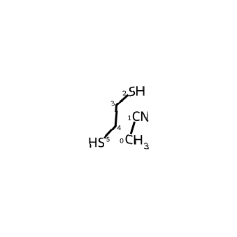 CC#N.SCCS